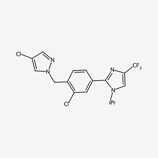 CC(C)n1cc(C(F)(F)F)nc1-c1ccc(Cn2cc(Cl)cn2)c(Cl)c1